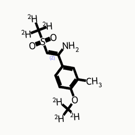 [2H]C([2H])([2H])Oc1ccc(/C(N)=C/S(=O)(=O)C([2H])([2H])[2H])cc1C